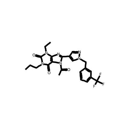 CCCn1c(=O)c2c(nc(-c3cnn(Cc4cccc(C(F)(F)F)c4)c3)n2C(C)=O)n(CC)c1=O